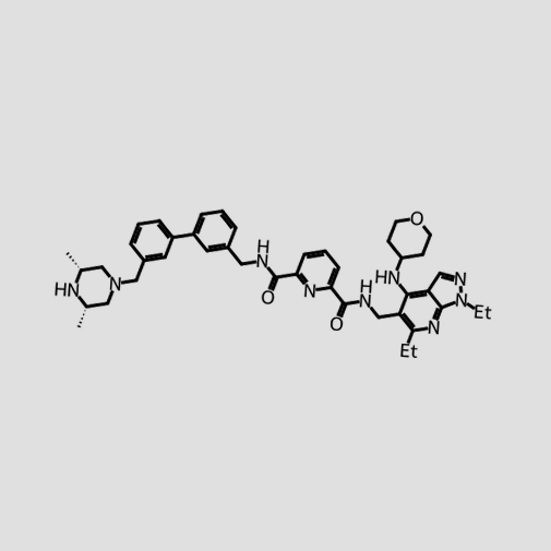 CCc1nc2c(cnn2CC)c(NC2CCOCC2)c1CNC(=O)c1cccc(C(=O)NCc2cccc(-c3cccc(CN4C[C@@H](C)N[C@@H](C)C4)c3)c2)n1